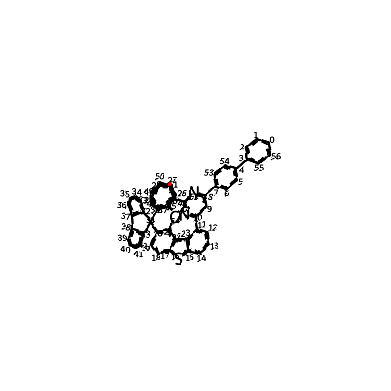 c1ccc(-c2ccc(-c3cc(-c4cccc5sc6ccc7c(c6c45)Oc4ccccc4C74c5ccccc5-c5ccccc54)nc(-c4ccccc4)n3)cc2)cc1